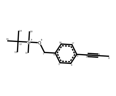 CC#Cc1ccc(CO[Si](C)(C)C(C)(C)C)cc1